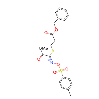 COC(=O)/C(=N/OS(=O)(=O)c1ccc(C)cc1)SCCC(=O)OCc1ccccc1